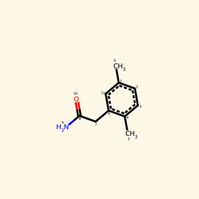 Cc1ccc(C)c(CC(N)=O)c1